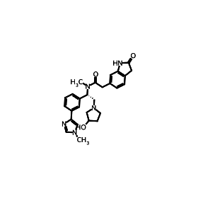 CN(C(=O)Cc1ccc2c(c1)NC(=O)C2)[C@H](CN1CCC(O)C1)c1cccc(-c2cn(C)cn2)c1